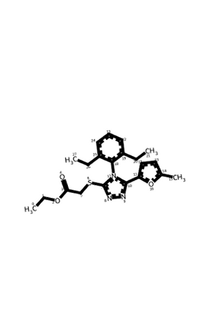 CCOC(=O)CSc1nnc(-c2ccc(C)o2)n1-c1c(CC)cccc1CC